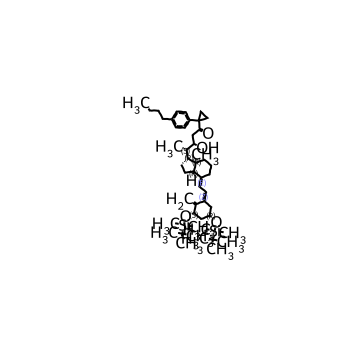 C=C1/C(=C\C=C2/CCC[C@]3(C)[C@@H]([C@H](C)C(O)CC(=O)C4(c5ccc(CCCC)cc5)CC4)CC[C@@H]23)C[C@@H](O[Si](C)(C)C(C)(C)C)C[C@@H]1O[Si](C)(C)C(C)(C)C